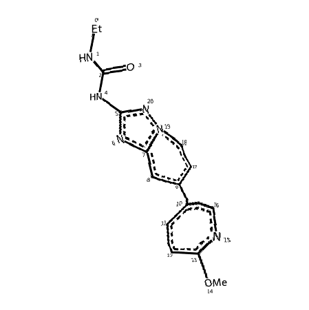 CCNC(=O)Nc1nc2cc(-c3ccc(OC)nc3)ccn2n1